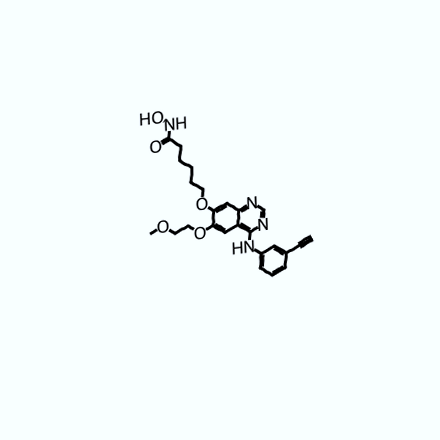 C#Cc1cccc(Nc2ncnc3cc(OCCCCCC(=O)NO)c(OCCOC)cc23)c1